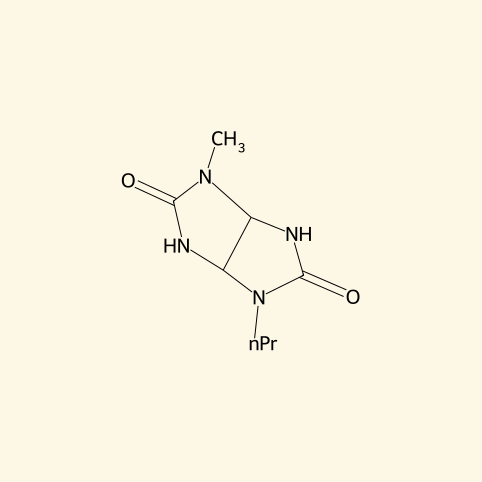 CCCN1C(=O)NC2C1NC(=O)N2C